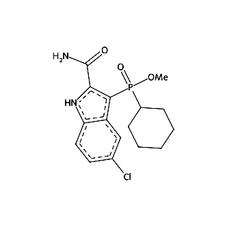 COP(=O)(c1c(C(N)=O)[nH]c2ccc(Cl)cc12)C1CCCCC1